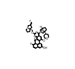 C#Cc1c(F)ccc2cc(O)cc(-c3c(Cl)cc4c(N5C[C@@H]6CC[C@](C7CCOCC7)(C5)N6)nc(OC[C@@]56CCCN5C/C(=C\F)C6)nc4c3F)c12